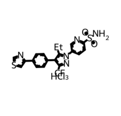 CCc1c(-c2ccc(-c3cscn3)cc2)c(C(F)(F)F)nn1-c1ccc(S(N)(=O)=O)nc1.Cl